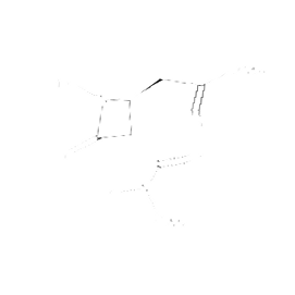 COC(=O)C[C@H]1[C@H](C(=O)N(C)OC)C(=O)N1C